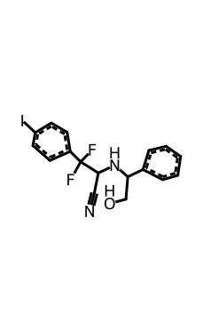 N#CC(NC(CO)c1ccccc1)C(F)(F)c1ccc(I)cc1